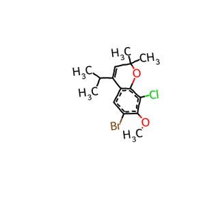 COc1c(Br)cc2c(c1Cl)OC(C)(C)C=C2C(C)C